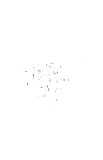 CCC(CC)CC(=O)c1c(C(=O)O)c(-c2ccc(OC)c(OC)c2)c2c(OC)c(OC)c(OC)cc2c1O